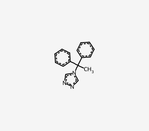 CC(c1ccccc1)(c1ccccc1)n1cnnc1